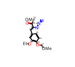 CCOc1cc(/C=C(\N=[N+]=[N-])C(=O)OC)ccc1OCOC